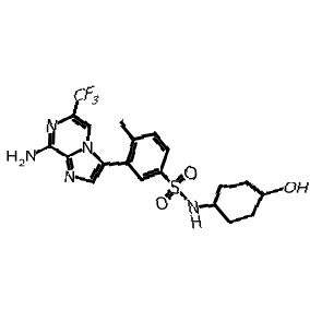 Cc1ccc(S(=O)(=O)NC2CCC(O)CC2)cc1-c1cnc2c(N)nc(C(F)(F)F)cn12